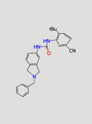 CC(C)(C)c1ccc(C#N)cc1NC(=O)Nc1ccc2c(c1)CN(Cc1ccccc1)C2